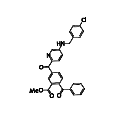 COC(=O)c1cc(C(=O)c2ccc(NCc3ccc(Cl)cc3)cn2)ccc1C(=O)c1ccccc1